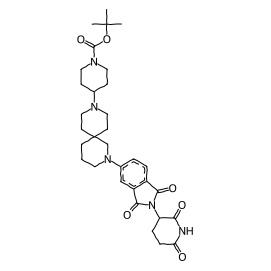 CC(C)(C)OC(=O)N1CCC(N2CCC3(CCCN(c4ccc5c(c4)C(=O)N(C4CCC(=O)NC4=O)C5=O)C3)CC2)CC1